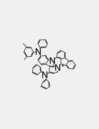 Cc1cc(C)cc(N(c2ccccc2)c2ccc3c4c(N(c5ccccc5)c5ccccc5)cc[n+]5c4n(c3c2)-c2cccc3c2C5c2ccccc2-3)c1